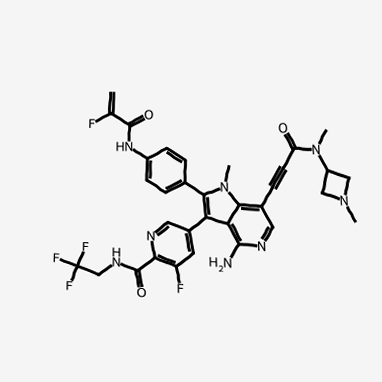 C=C(F)C(=O)Nc1ccc(-c2c(-c3cnc(C(=O)NCC(F)(F)F)c(F)c3)c3c(N)ncc(C#CC(=O)N(C)C4CN(C)C4)c3n2C)cc1